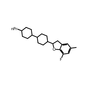 CCCC1CCC(C2CCC(C3Cc4cc(C)cc(F)c4O3)CC2)CC1